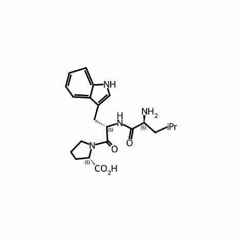 CC(C)C[C@H](N)C(=O)N[C@@H](Cc1c[nH]c2ccccc12)C(=O)N1CCC[C@H]1C(=O)O